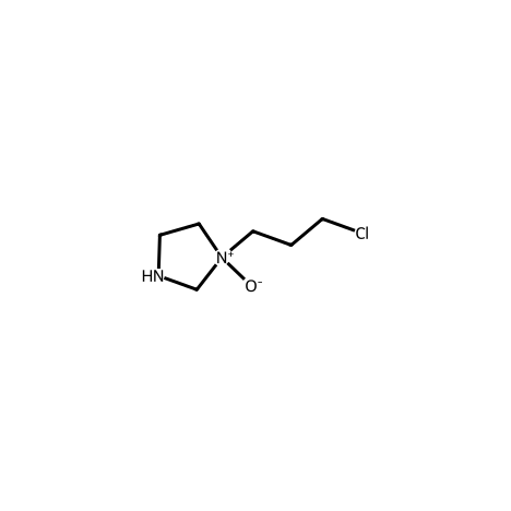 [O-][N+]1(CCCCl)CCNC1